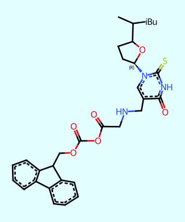 CCC(C)C(C)C1CC[C@H](n2cc(CNCC(=O)OC(=O)OCC3c4ccccc4-c4ccccc43)c(=O)[nH]c2=S)O1